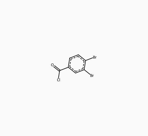 O=C(Cl)c1ccc(Br)c(Br)c1